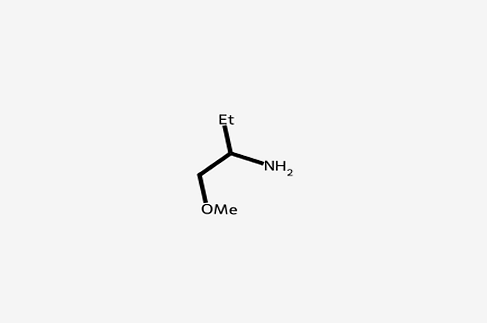 [CH2]OCC(N)CC